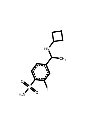 CC(NC1CCC1)c1ccc(S(N)(=O)=O)c(F)c1